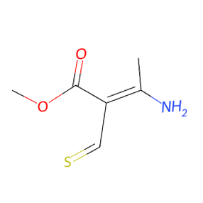 COC(=O)/C(C=S)=C(\C)N